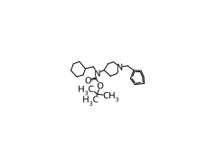 CC(C)(C)OC(=O)N(CC1CCCCC1)C1CCN(Cc2ccccc2)CC1